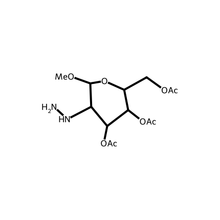 COC1OC(COC(C)=O)C(OC(C)=O)C(OC(C)=O)C1NN